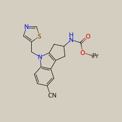 CC(C)OC(=O)NC1Cc2c(n(Cc3cncs3)c3ccc(C#N)cc23)C1